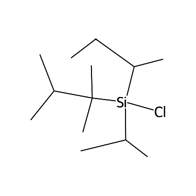 CCC(C)[Si](Cl)(C(C)C)C(C)(C)C(C)C